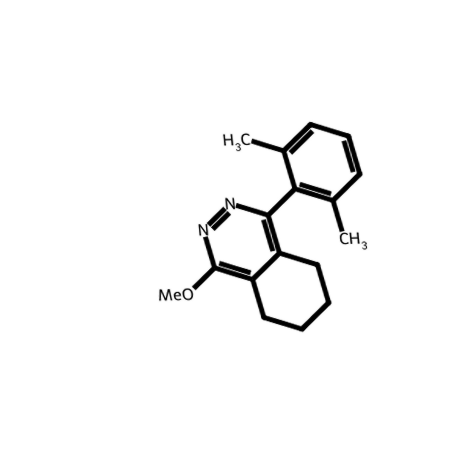 COc1nnc(-c2c(C)cccc2C)c2c1CCCC2